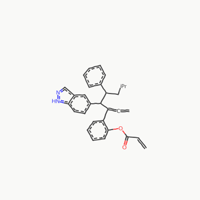 C=C=C(c1ccccc1OC(=O)C=C)C(c1ccc2[nH]ncc2c1)C(CC(C)C)c1ccccc1